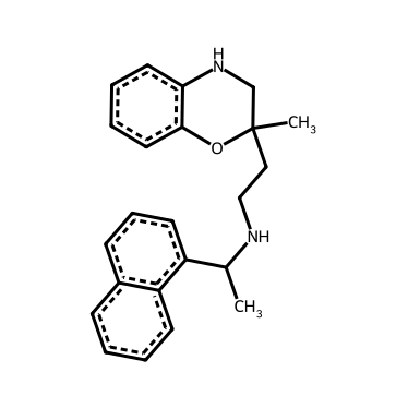 CC(NCCC1(C)CNc2ccccc2O1)c1cccc2ccccc12